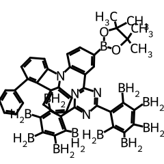 Bc1c(B)c(B)c(-c2nc(-c3cc(B4OC(C)(C)C(C)(C)O4)ccc3-n3c4ccccc4c4c(-c5ccccc5)cccc43)nc(-c3c(B)c(B)c(B)c(B)c3B)n2)c(B)c1B